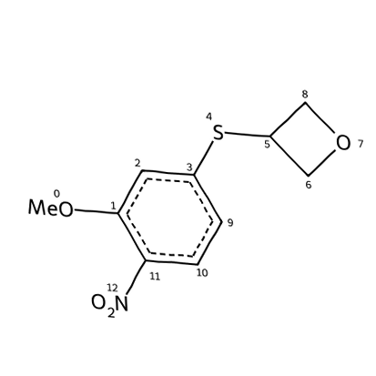 COc1cc(SC2COC2)ccc1[N+](=O)[O-]